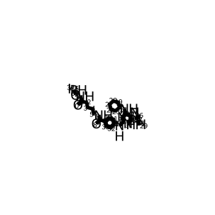 O=C(CCCCNC(=O)c1ccc(Nc2nc(NC3CCCCC3)c3ncn(PI)c3n2)cc1)NOPI